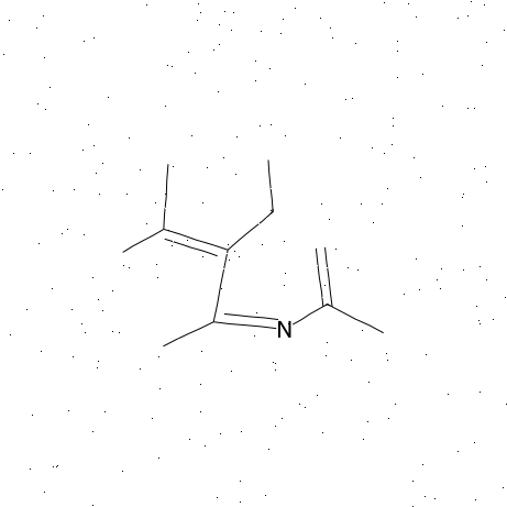 C=C(C)/N=C(/C)C(CC)=C(C)C